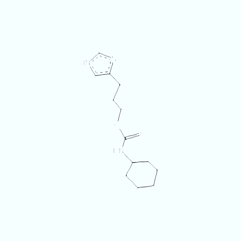 O=C(NC1CCCCC1)OCCCc1c[nH]cn1